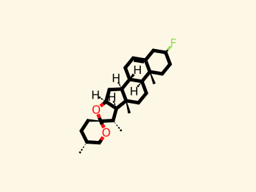 C[C@@H]1CC[C@@]2(OC1)O[C@H]1C[C@H]3[C@@H]4CC=C5C[C@@H](F)CC[C@]5(C)[C@H]4CC[C@]3(C)[C@H]1[C@@H]2C